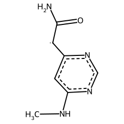 CNc1cc([CH]C(N)=O)ncn1